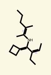 C/C=C(/CC)C(N/C(C)=C(\C)CCC)=C1CCC1